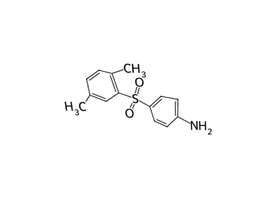 Cc1ccc(C)c(S(=O)(=O)c2ccc(N)cc2)c1